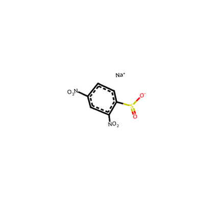 O=[N+]([O-])c1ccc(S(=O)[O-])c([N+](=O)[O-])c1.[Na+]